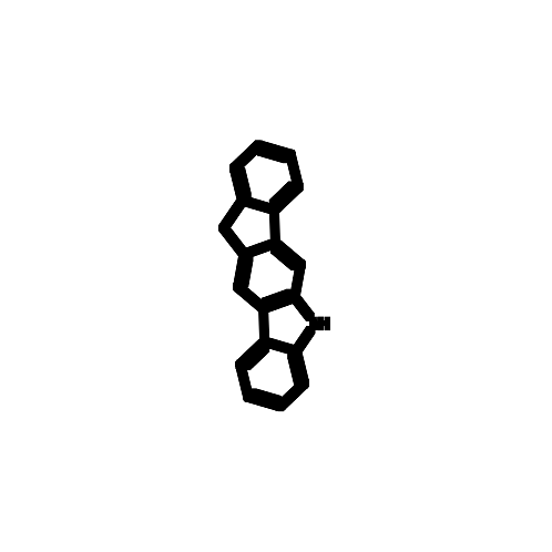 c1ccc2c(c1)Cc1cc3c(cc1-2)[nH]c1ccccc13